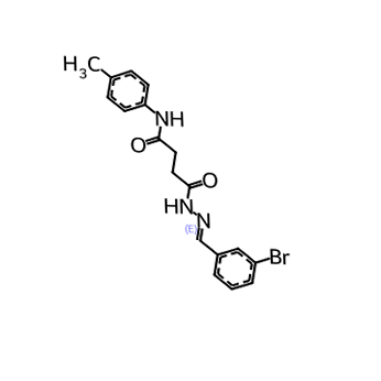 Cc1ccc(NC(=O)CCC(=O)N/N=C/c2cccc(Br)c2)cc1